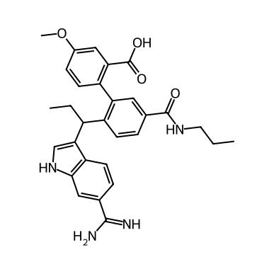 CCCNC(=O)c1ccc(C(CC)c2c[nH]c3cc(C(=N)N)ccc23)c(-c2ccc(OC)cc2C(=O)O)c1